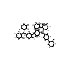 CC1C=CC=CC1c1ccc(N(C2=c3c(sc4ccccc34)=CCC2)c2ccc3c(c2)sc2ccc(N(c4ccccc4)c4ccccc4)cc23)cc1